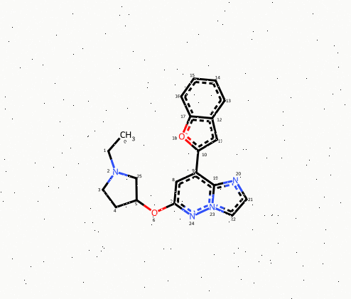 CCN1CCC(Oc2cc(-c3cc4ccccc4o3)c3nccn3n2)C1